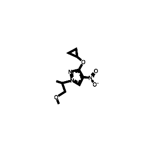 COCC(C)n1cc([N+](=O)[O-])c(OC2CC2)n1